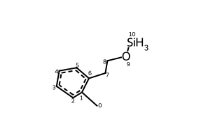 Cc1ccccc1CCO[SiH3]